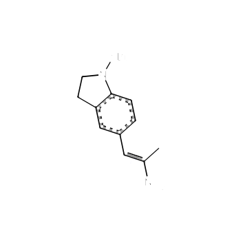 CCCCN1CCc2cc(/C=C(\C)N)ccc21